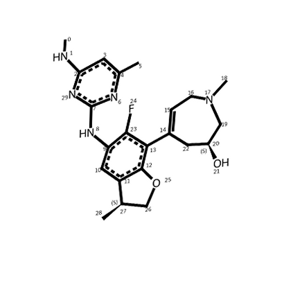 CNc1cc(C)nc(Nc2cc3c(c(C4=CCN(C)C[C@@H](O)C4)c2F)OC[C@H]3C)n1